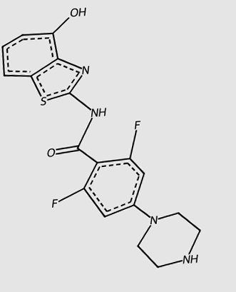 O=C(Nc1nc2c(O)cccc2s1)c1c(F)cc(N2CCNCC2)cc1F